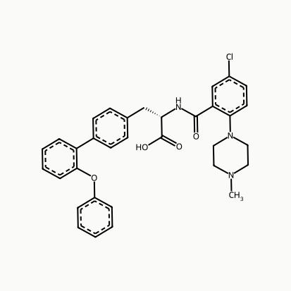 CN1CCN(c2ccc(Cl)cc2C(=O)N[C@@H](Cc2ccc(-c3ccccc3Oc3ccccc3)cc2)C(=O)O)CC1